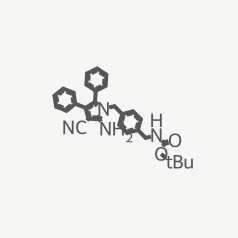 CC(C)(C)OC(=O)NCc1ccc(Cn2c(N)c(C#N)c(-c3ccccc3)c2-c2ccccc2)cc1